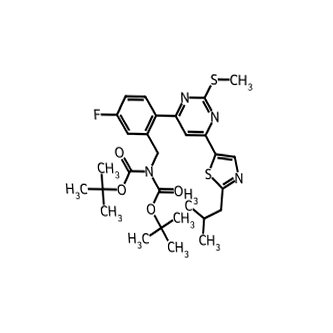 CSc1nc(-c2cnc(CC(C)C)s2)cc(-c2ccc(F)cc2CN(C(=O)OC(C)(C)C)C(=O)OC(C)(C)C)n1